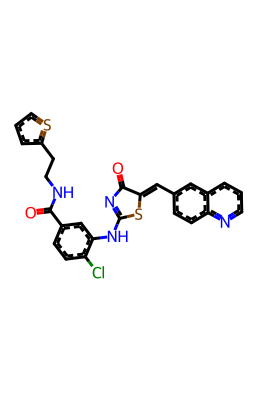 O=C1N=C(Nc2cc(C(=O)NCCc3cccs3)ccc2Cl)S/C1=C\c1ccc2ncccc2c1